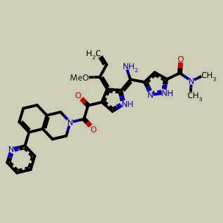 C=C/C(OC)=c1/c(C(=O)C(=O)N2CCC3=C(CCC=C3c3ccccn3)C2)c[nH]/c1=C(/N)c1cc(C(=O)N(C)C)[nH]n1